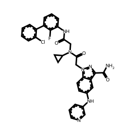 NC(=O)c1nn(CC(=O)N(CC(=O)Nc2cccc(-c3ccccc3Cl)c2F)C2CC2)c2ccc(Nc3cccnc3)cc12